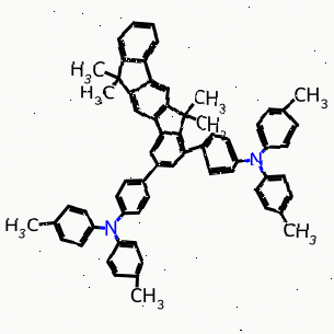 Cc1ccc(N(c2ccc(C)cc2)c2ccc(-c3cc(-c4ccc(N(c5ccc(C)cc5)c5ccc(C)cc5)cc4)c4c(c3)-c3cc5c(cc3C4(C)C)-c3ccccc3C5(C)C)cc2)cc1